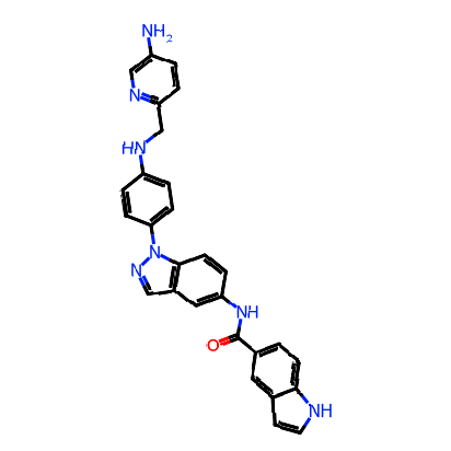 Nc1ccc(CNc2ccc(-n3ncc4cc(NC(=O)c5ccc6[nH]ccc6c5)ccc43)cc2)nc1